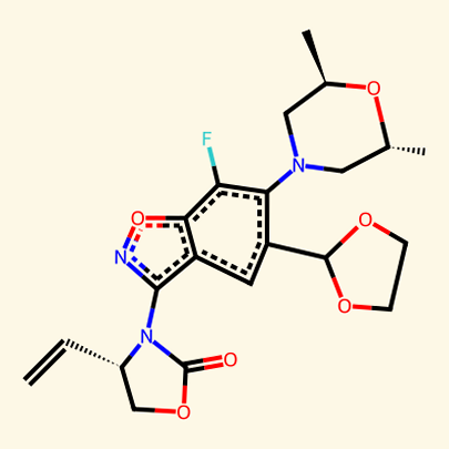 C=C[C@H]1COC(=O)N1c1noc2c(F)c(N3C[C@@H](C)O[C@H](C)C3)c(C3OCCO3)cc12